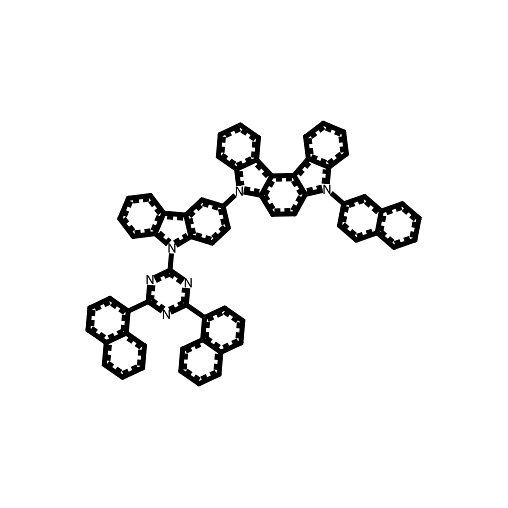 c1ccc2cc(-n3c4ccccc4c4c5c6ccccc6n(-c6ccc7c(c6)c6ccccc6n7-c6nc(-c7cccc8ccccc78)nc(-c7cccc8ccccc78)n6)c5ccc43)ccc2c1